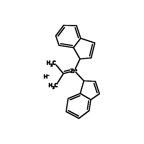 C[C](C)=[Zr+]([CH]1C=Cc2ccccc21)[CH]1C=Cc2ccccc21.[H-]